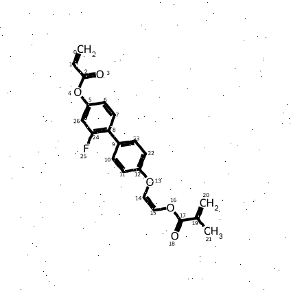 C=CC(=O)Oc1ccc(-c2ccc(O/C=C\OC(=O)C(=C)C)cc2)c(F)c1